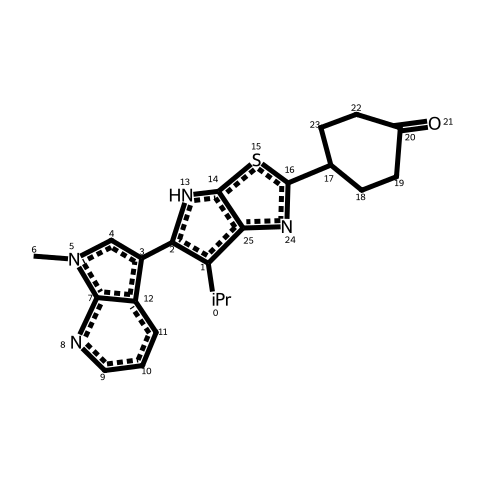 CC(C)c1c(-c2cn(C)c3ncccc23)[nH]c2sc(C3CCC(=O)CC3)nc12